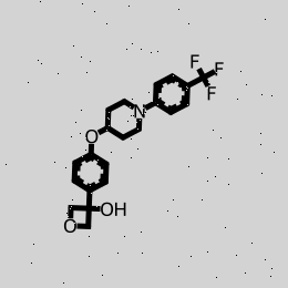 OC1(c2ccc(OC3CCN(c4ccc(C(F)(F)F)cc4)CC3)cc2)COC1